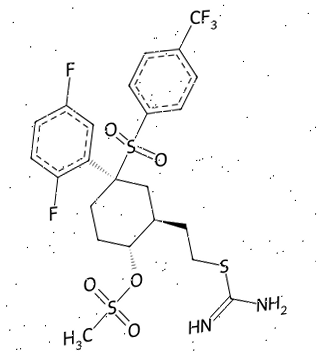 CS(=O)(=O)O[C@@H]1CC[C@@](c2cc(F)ccc2F)(S(=O)(=O)c2ccc(C(F)(F)F)cc2)C[C@H]1CCSC(=N)N